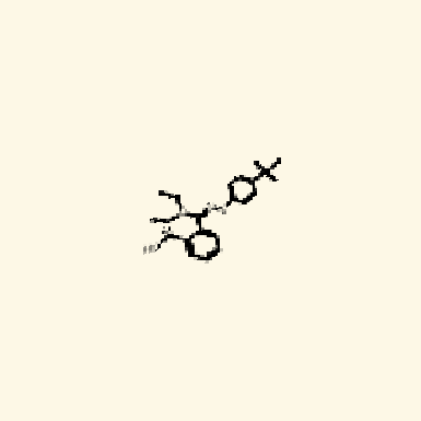 CCN(CC)/C(=N/Sc1ccc(C(C)(C)C)cc1)c1ccccc1C(=O)O